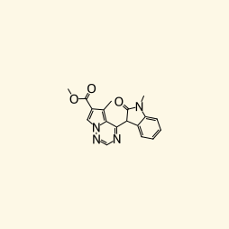 COC(=O)c1cn2ncnc(C3C(=O)N(C)c4ccccc43)c2c1C